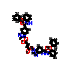 O=C(/C=C/C(=O)On1cnc2c1CCC(C(=O)Nc1ccccc1Oc1ccccc1)C2)On1cnc2c1CCC(C(=O)Nc1ccccc1Oc1ccccc1)C2